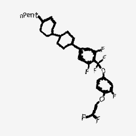 CCCCCC1CCC(C2CCC(c3cc(F)c(C(F)(F)Oc4ccc(OC=C(F)F)c(F)c4)c(F)c3)CC2)CC1